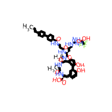 CCCc1ccc(-c2ccc(C(=O)NCCC(=O)N[C@@H](CCCNC(=N)N)C(=O)N(C)[C@@H]3C(=O)N[C@@H](C)C(=O)N[C@H](C(=O)O)Cc4ccc(O)c(c4)-c4cc3ccc4O)cc2)cc1.O=C(O)C(F)(F)F